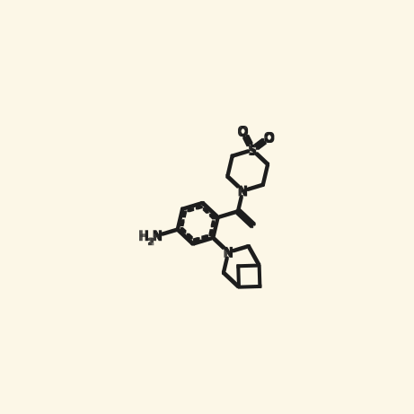 C=C(c1ccc(N)cc1N1CC2CC(C2)C1)N1CCS(=O)(=O)CC1